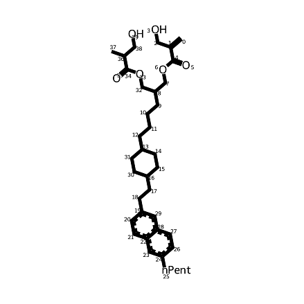 C=C(CO)C(=O)OCC(CCCCC1CCC(CCc2ccc3cc(CCCCC)ccc3c2)CC1)COC(=O)C(C)CO